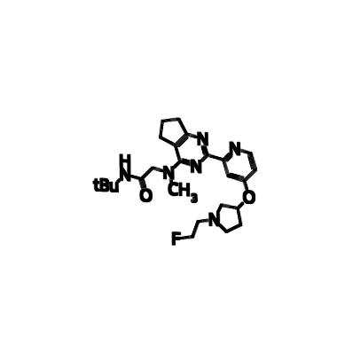 CN(CC(=O)NC(C)(C)C)c1nc(-c2cc(OC3CCN(CCF)C3)ccn2)nc2c1CCC2